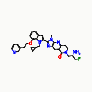 Cn1c(-c2cc3cccc(OCCc4cccnc4)c3n2CC2CC2)nc2cc3c(nc21)CCN(C[C@H](N)CF)C3=O